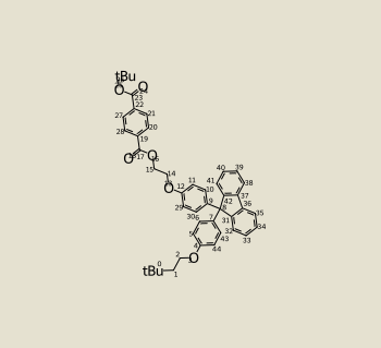 CC(C)(C)CCOc1ccc(C2(c3ccc(OCCOC(=O)c4ccc(C(=O)OC(C)(C)C)cc4)cc3)c3ccccc3-c3ccccc32)cc1